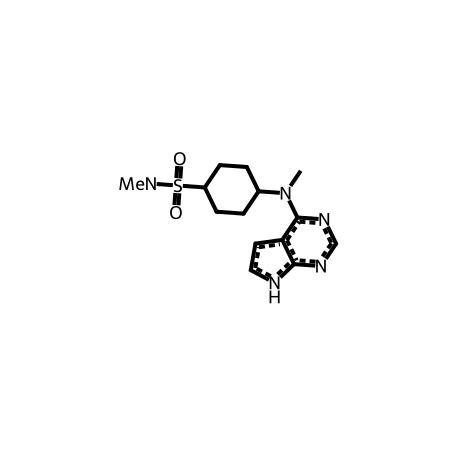 CNS(=O)(=O)C1CCC(N(C)c2ncnc3[nH]ccc23)CC1